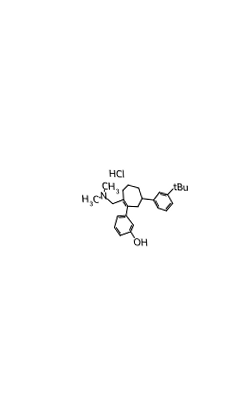 CN(C)CC1=C(c2cccc(O)c2)CC(c2cccc(C(C)(C)C)c2)CCC1.Cl